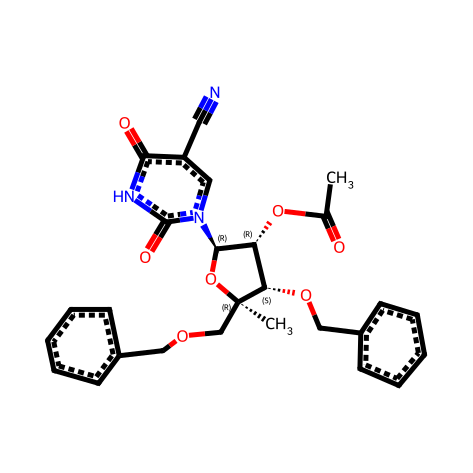 CC(=O)O[C@H]1[C@H](n2cc(C#N)c(=O)[nH]c2=O)O[C@](C)(COCc2ccccc2)[C@H]1OCc1ccccc1